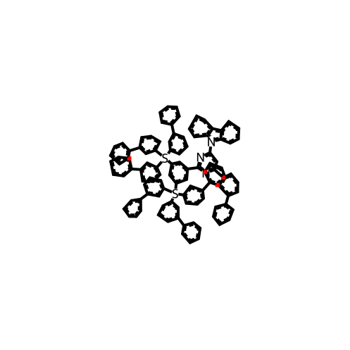 c1ccc(-c2cccc(-c3cc(-n4c5ccccc5c5ccccc54)nc(-c4cc(S(c5cccc(-c6ccccc6)c5)(c5cccc(-c6ccccc6)c5)c5cccc(-c6ccccc6)c5)cc(S(c5cccc(-c6ccccc6)c5)(c5cccc(-c6ccccc6)c5)c5cccc(-c6ccccc6)c5)c4)n3)c2)cc1